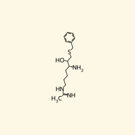 CC(=N)NCCCC[C@H](N)C(O)CSCc1ccccc1